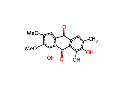 COc1cc2c(c(O)c1OC)C(=O)c1c(cc(C)c(O)c1O)C2=O